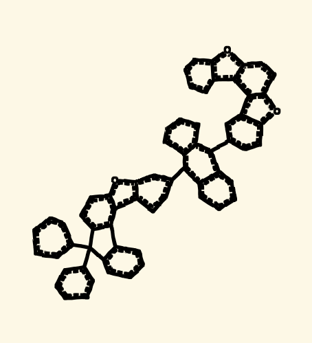 c1ccc(C2(c3ccccc3)c3ccccc3-c3c2ccc2oc4cc(-c5c6ccccc6c(-c6ccc7oc8ccc9oc%10ccccc%10c9c8c7c6)c6ccccc56)ccc4c32)cc1